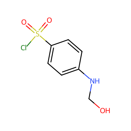 O=S(=O)(Cl)c1ccc(NCO)cc1